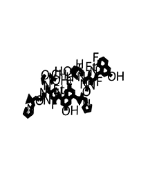 CCc1c(F)ccc2cc(O)cc(-c3ncc4c(N5C[C@@H]6C[C@H](C5)[C@H](O)C6)nc(OCC5(CN6CCCC6)CC5c5cc(F)c(CC)c6c(-c7ncc8c(N9CCOC[C@@](C)(O)C9)nc(OCC9(CN%10CCCC%10)CC9)nc8c7F)cc(O)cc56)nc4c3F)c12